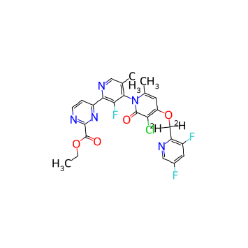 [2H]C([2H])(Oc1cc(C)n(-c2c(C)cnc(-c3ccnc(C(=O)OCC)n3)c2F)c(=O)c1Cl)c1ncc(F)cc1F